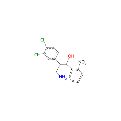 NCC(c1ccc(Cl)c(Cl)c1)C(O)c1ccccc1[N+](=O)[O-]